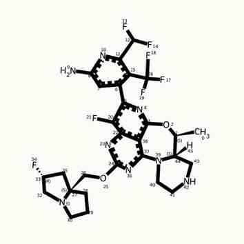 C[C@@H]1Oc2nc(-c3cc(N)nc(C(F)F)c3C(F)(F)F)c(F)c3nc(OC[C@@]45CCCN4C[C@H](F)C5)nc(c23)N2CCNC[C@@H]12